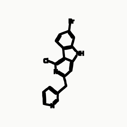 Clc1nc(Cc2cccnc2)cc2[nH]c3cc(Br)ccc3c12